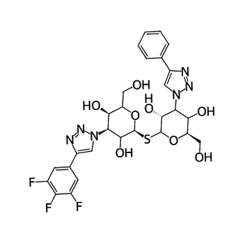 OCC1O[C@@H](SC2O[C@H](CO)C(O)C(n3cc(-c4ccccc4)nn3)[C@H]2O)C(O)[C@@H](n2cc(-c3cc(F)c(F)c(F)c3)nn2)[C@H]1O